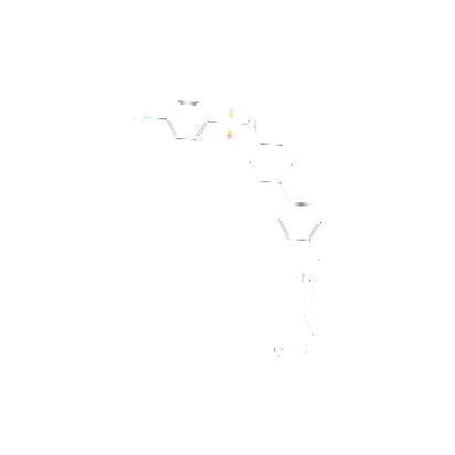 COCCCNCc1ccc(C2CCC(N(C)S(=O)(=O)c3ccc(Cl)cc3)CC2)cc1